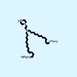 CCCCC/C=C\C/C=C\CCCCCCCCN(CCCCCCCC/C=C\C/C=C\CCCCC)CCN1CCNCC1